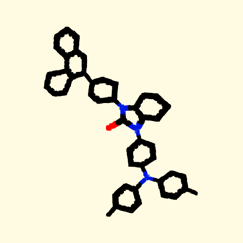 Cc1ccc(N(c2ccc(C)cc2)c2ccc(-n3c(=O)n(-c4ccc(-c5cc6ccccc6c6ccccc56)cc4)c4ccccc43)cc2)cc1